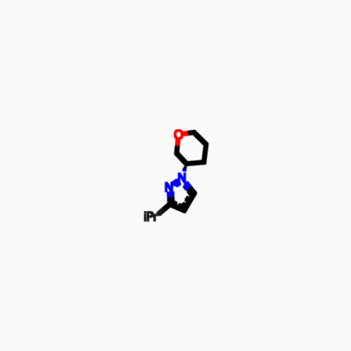 CC(C)c1ccn([C@H]2CCCOC2)n1